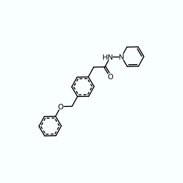 O=C(Cc1ccc(COc2ccccc2)cc1)NN1C=CC=CC1